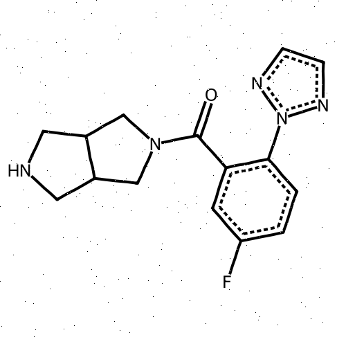 O=C(c1cc(F)ccc1-n1nccn1)N1CC2CNCC2C1